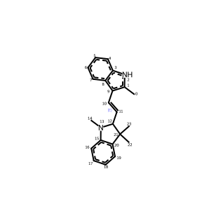 Cc1[nH]c2ccccc2c1/C=C/C1N(C)c2ccccc2C1(C)C